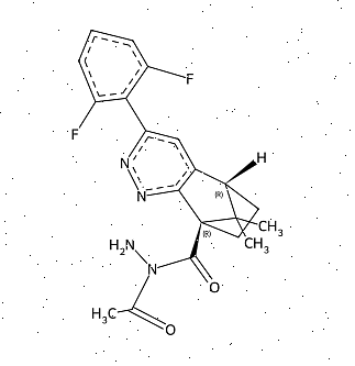 CC(=O)N(N)C(=O)[C@@]12CC[C@@H](c3cc(-c4c(F)cccc4F)nnc31)C2(C)C